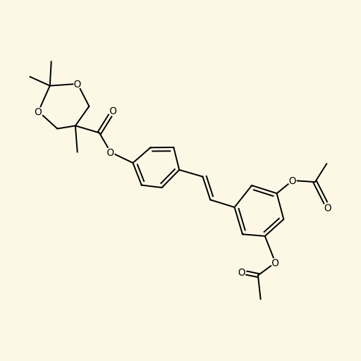 CC(=O)Oc1cc(/C=C/c2ccc(OC(=O)C3(C)COC(C)(C)OC3)cc2)cc(OC(C)=O)c1